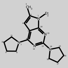 CCn1c(C)cc2c(N3CCCC3)nc(N3CCCC3)nc21